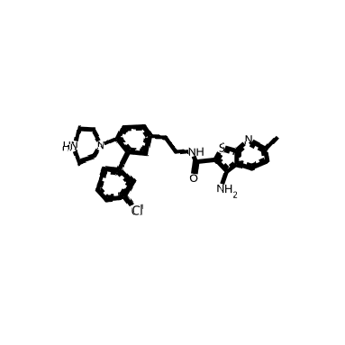 Cc1ccc2c(N)c(C(=O)NCCc3ccc(N4CCNCC4)c(-c4cccc(Cl)c4)c3)sc2n1